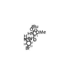 COC[C@H](NC(=O)OC(C)(C)C)C(=O)Nc1ccc(Br)cc1N